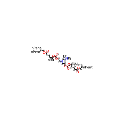 CCCCCC(CCCCC)COC(=O)CCCC(CCCC)OC(=O)OCCN(CCOC(=O)OC(CCCC)CCCC(=O)OCC(CCCCC)CCCCC)CCN(CC)CC